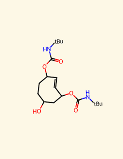 CC(C)(C)NC(=O)OC1/C=C/C(OC(=O)NC(C)(C)C)CC(O)CC1